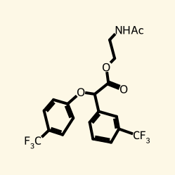 CC(=O)NCCOC(=O)C(Oc1ccc(C(F)(F)F)cc1)c1cccc(C(F)(F)F)c1